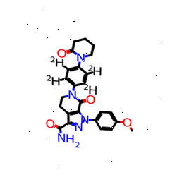 [2H]c1c([2H])c(N2CCc3c(C(N)=O)nn(-c4ccc(OC)cc4)c3C2=O)c([2H])c([2H])c1N1CCCCC1=O